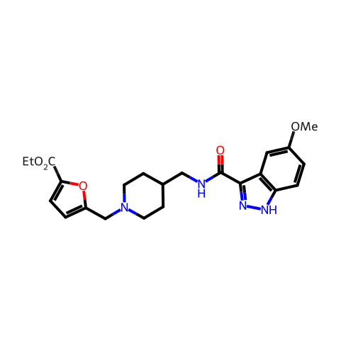 CCOC(=O)c1ccc(CN2CCC(CNC(=O)c3n[nH]c4ccc(OC)cc34)CC2)o1